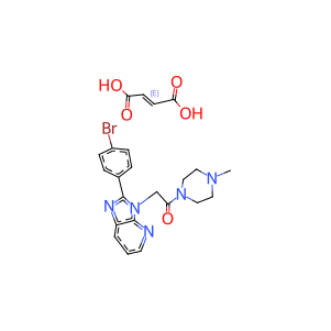 CN1CCN(C(=O)Cn2c(-c3ccc(Br)cc3)nc3cccnc32)CC1.O=C(O)/C=C/C(=O)O